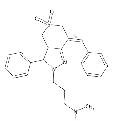 CN(C)CCCN1N=C2/C(=C\c3ccccc3)CS(=O)(=O)CC2C1c1ccccc1